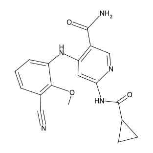 COc1c(C#N)cccc1Nc1cc(NC(=O)C2CC2)ncc1C(N)=O